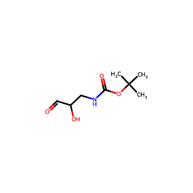 CC(C)(C)OC(=O)NCC(O)[C]=O